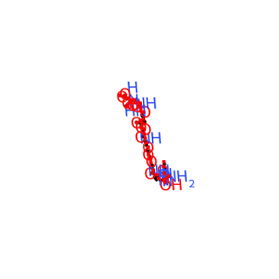 CCCCOc1nc(N)c2nc(O)n(Cc3ccc(C(=O)NCCCOCCOCCOCCCNC(=O)CCC(=O)Oc4ccc(/C=C/C(=O)NCC(=O)N[C@@H](C)C(=O)N[C@H](CCC(=O)OCC)C(=O)OCC)cc4OC)cc3)c2n1